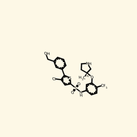 C[C@@]1(Oc2cc(NS(=O)(=O)c3cc(Cl)c(-c4cccc(CO)c4)s3)ccc2C(F)(F)F)CCNC1